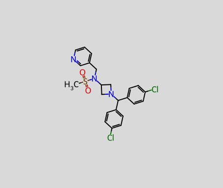 CS(=O)(=O)N(Cc1cccnc1)C1CN(C(c2ccc(Cl)cc2)c2ccc(Cl)cc2)C1